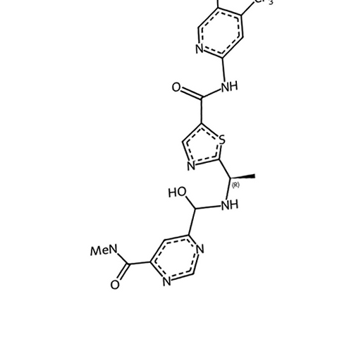 CNC(=O)c1cc(C(O)N[C@H](C)c2ncc(C(=O)Nc3cc(C(F)(F)F)c(Cl)cn3)s2)ncn1